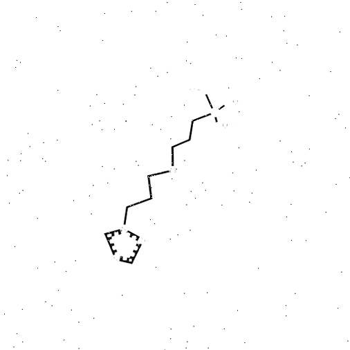 CO[Si](CCCNCCCn1cncn1)(OC)OC